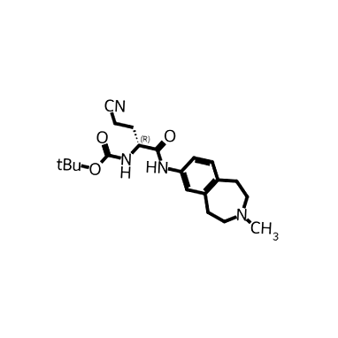 CN1CCc2ccc(NC(=O)[C@@H](CCC#N)NC(=O)OC(C)(C)C)cc2CC1